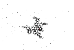 CC(C)(C)c1ccc(N2c3cc(C(C)(C)C)cc4c3B(c3ccc(N5c6ccc(C(C)(C)C)cc6C6(C)CCCCC56C)cc3N4c3cccc4c3sc3ccc(C(C)(C)C)cc34)c3ccc4c(sc5ccc(C(C)(C)C)cc54)c32)c(-c2ccccc2)c1